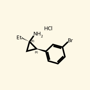 CC[C@@]1(N)C[C@@H]1c1cccc(Br)c1.Cl